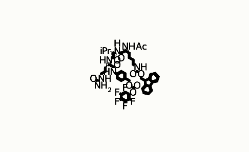 CC(=O)N[C@@H](CCCCNC(=O)OCC1c2ccccc2-c2ccccc21)C(=O)N[C@H](C(=O)N[C@@H](CCCNC(N)=O)C(=O)Nc1ccc(COC(=O)Oc2c(F)c(F)c(F)c(F)c2F)cc1)C(C)C